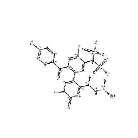 CCS(=O)(=O)N(c1cc(-c2cn(C)c(=O)cc2[C@@H](C)N[S@@+]([O-])C(C)(C)C)c(C(=O)c2ccc(Cl)cc2)cc1F)S(=O)(=O)CC